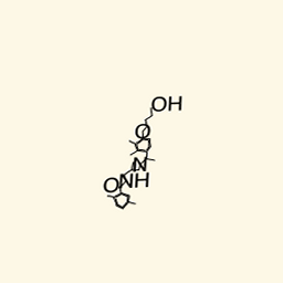 Cc1ccc(C)c(C(=O)NCC2CN(C(C)c3ccc(OCCCCO)c(C)c3C)C2)c1